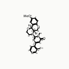 COc1ccc2c(c1)[C@@H]1OCCN(c3nc(-c4ccncc4F)cc(=O)n3C)[C@H]1CO2